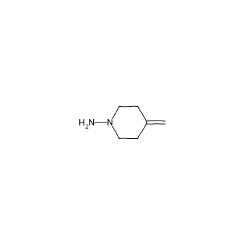 C=C1CCN(N)CC1